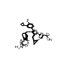 NS(=O)(=O)c1ccc(Cc2c(-c3ccc(F)c(C4CCC4)c3)nn(-c3nc(C(=O)O)cs3)c2CC2CC2)cc1F